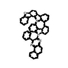 c1ccc(-c2nc3c(ccc4ccccc43)nc2-n2c3cccc4c5cccc6c7ccc8oc9ccccc9c8c7n(c7cccc2c7c43)c56)cc1